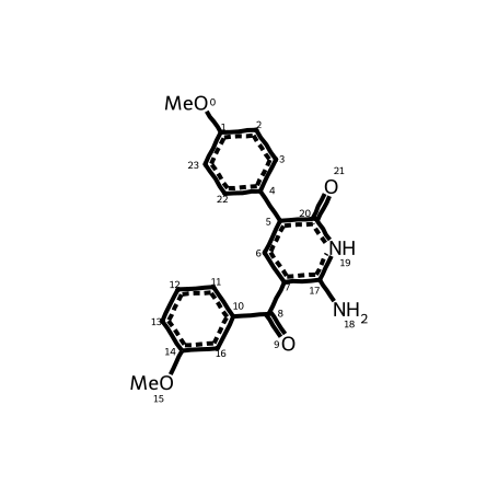 COc1ccc(-c2cc(C(=O)c3cccc(OC)c3)c(N)[nH]c2=O)cc1